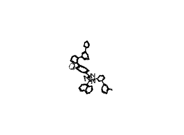 Cc1cccc(-c2cccc(-c3nc(-c4ccc5c(c4)oc4cccc(-c6cccc(-c7ccccc7)c6)c45)nc(-c4cccc5ccccc45)n3)c2)c1